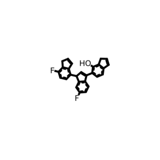 Oc1c(C2=CC(c3ccc(F)c4c3C=CC4)c3cc(F)ccc32)ccc2c1CC=C2